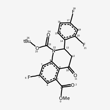 COC(=O)c1cc(F)cc2c1C(=O)CC(c1ccc(F)cc1F)N2C(=O)OC(C)(C)C